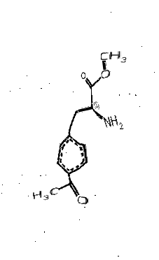 COC(=O)[C@@H](N)Cc1ccc(C(C)=O)cc1